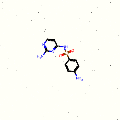 Nc1ccc(S(=O)(=O)Nc2ccnc(N)n2)cc1